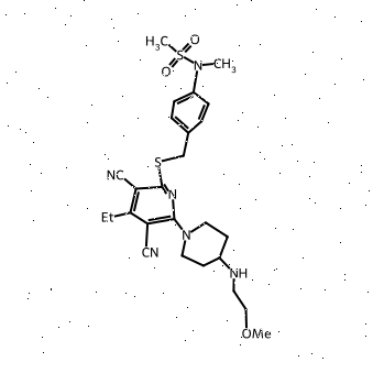 CCc1c(C#N)c(SCc2ccc(N(C)S(C)(=O)=O)cc2)nc(N2CCC(NCCOC)CC2)c1C#N